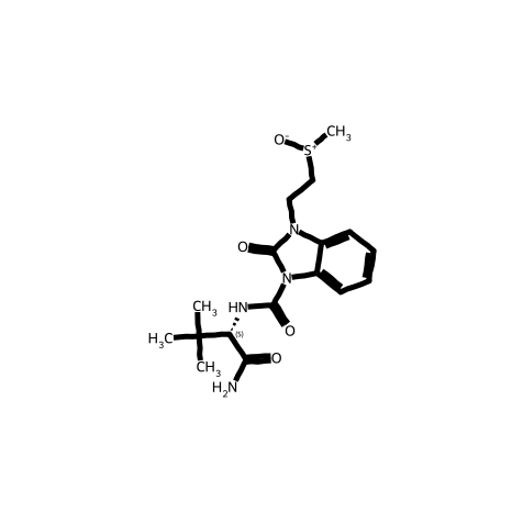 C[S+]([O-])CCn1c(=O)n(C(=O)N[C@H](C(N)=O)C(C)(C)C)c2ccccc21